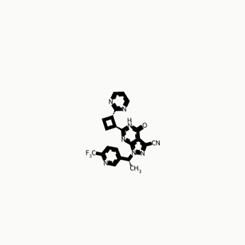 C[C@H](c1ccc(C(F)(F)F)nc1)n1nc(C#N)c2c(=O)[nH]c([C@H]3CC[C@@H]3c3ncccn3)nc21